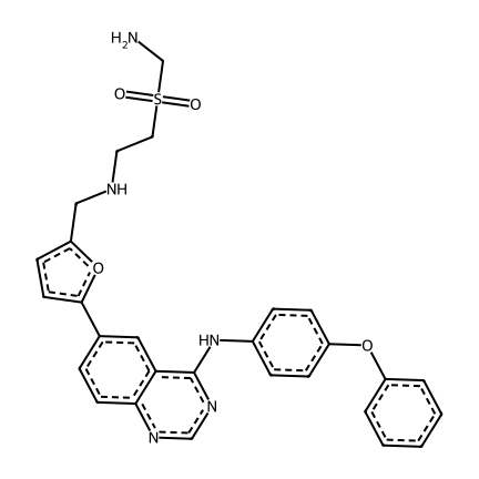 NCS(=O)(=O)CCNCc1ccc(-c2ccc3ncnc(Nc4ccc(Oc5ccccc5)cc4)c3c2)o1